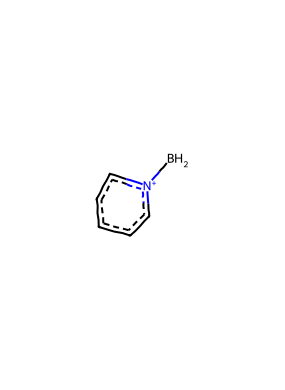 B[n+]1ccccc1